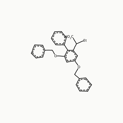 CCC(C(=O)O)c1cc(OCc2ccccc2)cc(OCc2ccccc2)c1-c1ccccc1